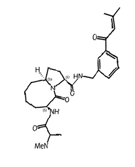 CNC(C)C(=O)N[C@H]1CCCC[C@H]2CC[C@@H](C(=O)NCc3cccc(C(=O)C=C(C)C)c3)N2C1=O